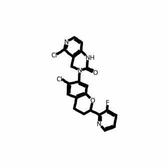 O=C1Nc2ccnc(Cl)c2CN1c1cc2c(cc1Cl)CCC(c1ncccc1F)O2